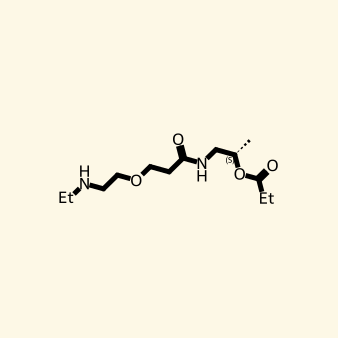 CCNCCOCCC(=O)NC[C@H](C)OC(=O)CC